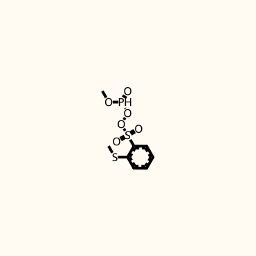 CO[PH](=O)OOS(=O)(=O)c1ccccc1SC